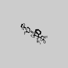 CC(C(=O)NN1CCN(c2ncco2)C(F)C1)(c1ccccc1)C1CNC(=O)O1